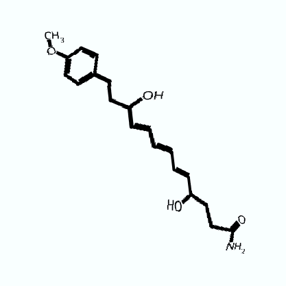 COc1ccc(CCC(O)C=CC=CC=CC(O)CCC(N)=O)cc1